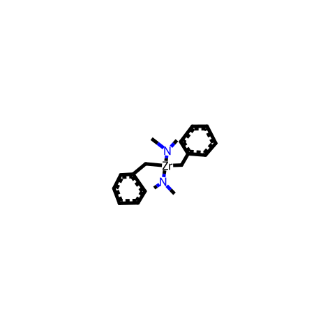 C[N](C)[Zr]([CH2]c1ccccc1)([CH2]c1ccccc1)[N](C)C